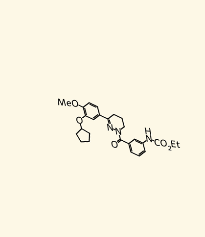 CCOC(=O)Nc1cccc(C(=O)N2CCCC(c3ccc(OC)c(OC4CCCC4)c3)=N2)c1